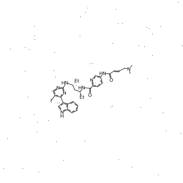 CC[C@@H](C[C@@H](CC)Nc1ncc(I)c(-c2c[nH]c3ccccc23)n1)NC(=O)c1ccc(NC(=O)/C=C/CN(C)C)cn1